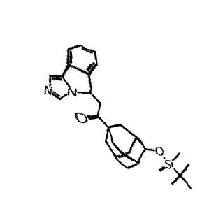 CC(C)(C)[Si](C)(C)OC1C2CC3CC1CC(C(=O)CC1c4ccccc4-c4cncn41)(C3)C2